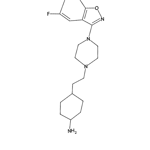 NC1CCC(CCN2CCN(c3noc4ccc(F)cc34)CC2)CC1